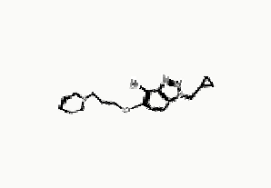 Brc1c(OCCCN2CCCCC2)ccc2c1nnn2CC1CC1